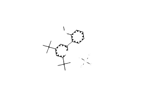 COc1ccccc1-c1cc(C(C)(C)C)cc(C(C)(C)C)[o+]1.F[B-](F)(F)F